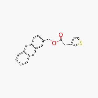 O=C(Cc1ccsc1)OCc1ccc2cc3ccccc3cc2c1